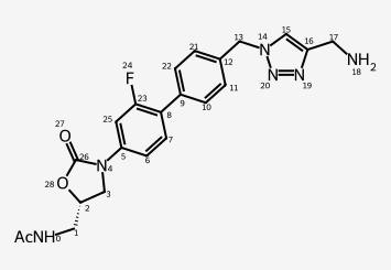 CC(=O)NC[C@H]1CN(c2ccc(-c3ccc(Cn4cc(CN)nn4)cc3)c(F)c2)C(=O)O1